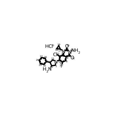 Cl.NC1CN(c2c(F)cc3c(=O)n(N)c(=O)n(C4CC4)c3c2Cl)CC1c1ccccc1